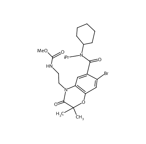 COC(=O)NCCN1C(=O)C(C)(C)Oc2cc(Br)c(C(=O)N(C(C)C)C3CCCCC3)cc21